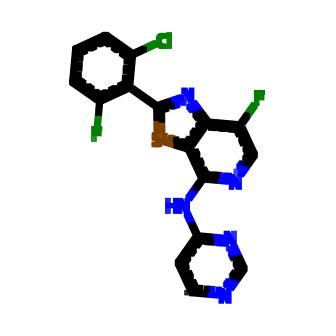 Fc1cccc(Cl)c1-c1nc2c(F)cnc(Nc3c[c]ncn3)c2s1